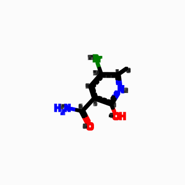 Cc1nc(O)c(C(N)=O)cc1Br